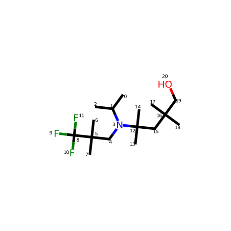 CC(C)N(CC(C)(C)C(F)(F)F)C(C)(C)CC(C)(C)CO